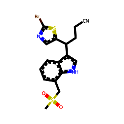 CS(=O)(=O)Cc1cccc2c(C(CCC#N)c3cnc(Br)s3)c[nH]c12